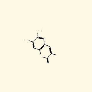 O=c1oc2cc(O)c(O)cc2cc1Cl